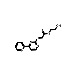 O=C(CSc1nccc(-c2ccccn2)n1)OCCO